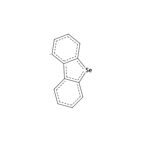 [c]1cccc2[se]c3ccccc3c12